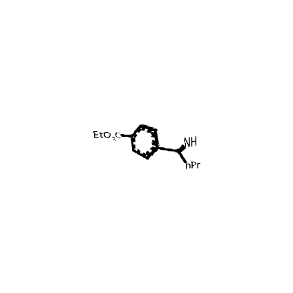 CCCC(=N)c1ccc(C(=O)OCC)cc1